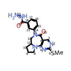 CSc1ncc2c(n1)N1CCCC1CN(c1cccc(C(=O)NN)c1)C2=O